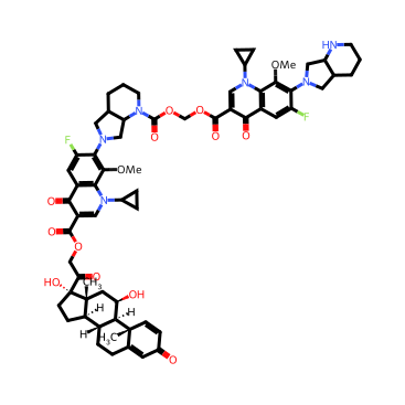 COc1c(N2CC3CCCNC3C2)c(F)cc2c(=O)c(C(=O)OCOC(=O)N3CCCC4CN(c5c(F)cc6c(=O)c(C(=O)OCC(=O)[C@]7(O)CC[C@@H]8[C@H]9CCC%10=CC(=O)C=C[C@@]%10(C)[C@@H]9[C@H](O)C[C@]87C)cn(C7CC7)c6c5OC)CC43)cn(C3CC3)c12